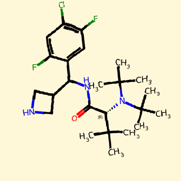 CC(C)(C)[C@H](C(=O)NC(c1cc(F)c(Cl)cc1F)C1CNC1)N(C(C)(C)C)C(C)(C)C